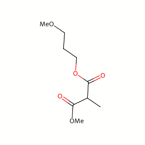 COCCCOC(=O)C(C)C(=O)OC